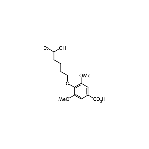 CCC(O)CCCCOc1c(OC)cc(C(=O)O)cc1OC